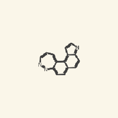 c1cnnc2ccc3ccc4nccc4c3c2c1